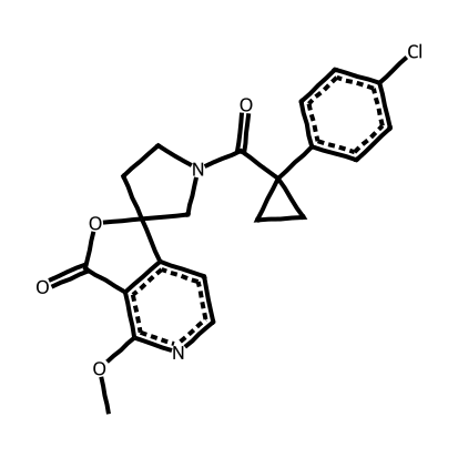 COc1nccc2c1C(=O)OC21CCN(C(=O)C2(c3ccc(Cl)cc3)CC2)C1